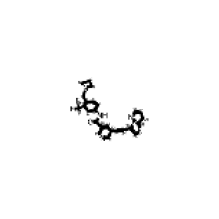 O=C(Nc1ccc(CN2CCC2)c(C(F)(F)F)c1)c1cncc(C#Cc2cnc3cccnn23)c1